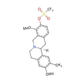 COc1cc2c(cc1C)[C@@H]1Cc3ccc(OS(=O)(=O)C(F)(F)F)c(OC)c3CN1CC2